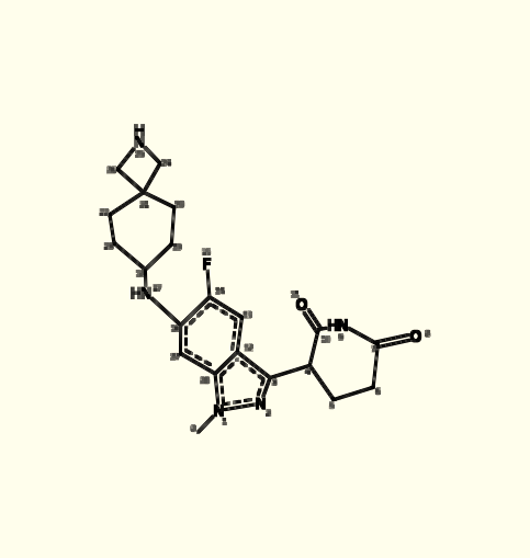 Cn1nc(C2CCC(=O)NC2=O)c2cc(F)c(NC3CCC4(CC3)CNC4)cc21